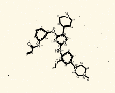 C=CC(=O)Nc1cccc(Oc2nc(Nc3ccc(N4CCN(C)CC4)cc3OC)ncc2C2=CCOCC2)c1